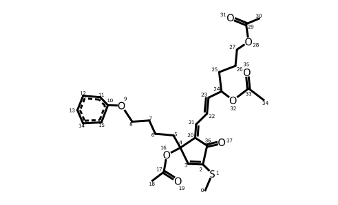 CSC1=CC(CCCCOc2ccccc2)(OC(C)=O)C(=C/C=C/C(CCCOC(C)=O)OC(C)=O)C1=O